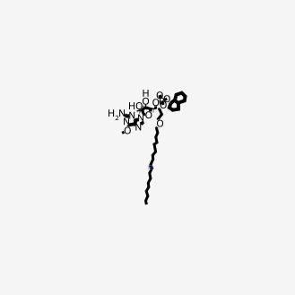 CCCCCCCC/C=C/CCCCCCCCOCCCOP(=O)(OC[C@H]1OC(n2cnc3c(OC)nc(N)nc32)[C@](C)(O)[C@@H]1O)Oc1cccc2ccccc12